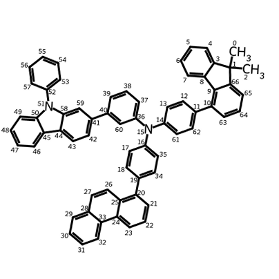 CC1(C)c2ccccc2-c2c(-c3ccc(N(c4ccc(-c5cccc6c5ccc5ccccc56)cc4)c4cccc(-c5ccc6c7ccccc7n(-c7ccccc7)c6c5)c4)cc3)cccc21